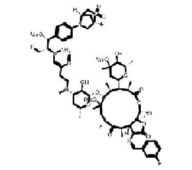 C=N/C(=C\N(N)[C@H](CF)[C@H](OC)c1ccc(N2C[C@H]3C[C@@H]2CS3(=O)=O)cc1)CCN(C)[C@H]1C[C@@H](C)O[C@@H](O[C@@H]2[C@@H](C)C([C@H]3C[C@@](C)(OC)[C@@H](O)[C@H](C)O3)[C@@H](C)C(=O)O[C@H](CC)[C@@]3(C)OC(=O)C(/N=C\c4cccc(F)c4)[C@@H]3[C@@H](C)C(=O)[C@H](C)C[C@@]2(C)OC)[C@@H]1O